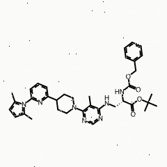 Cc1c(NC[C@H](NC(=O)OCc2ccccc2)C(=O)OC(C)(C)C)ncnc1N1CCC(c2cccc(-n3c(C)ccc3C)n2)CC1